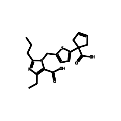 CCCc1nc(CC)c(C(=O)O)n1Cc1ccc(C2(C(=O)O)CC=CC2)s1